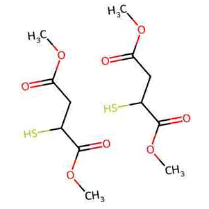 COC(=O)CC(S)C(=O)OC.COC(=O)CC(S)C(=O)OC